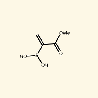 C=C(B(O)O)C(=O)OC